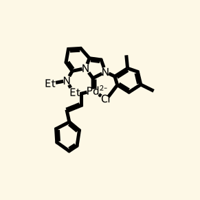 CCN(CC)c1cccc2cn(-c3c(C)cc(C)cc3C)[c](=[Pd-2]([Cl])[CH2]C=Cc3ccccc3)n12